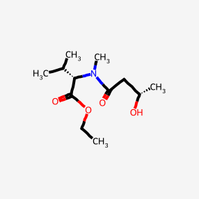 CCOC(=O)[C@H](C(C)C)N(C)C(=O)C[C@H](C)O